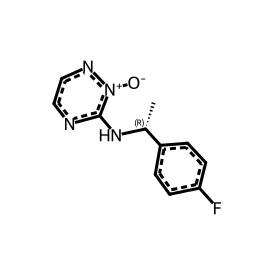 C[C@@H](Nc1nccn[n+]1[O-])c1ccc(F)cc1